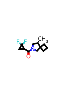 C[C@@H]1CN(C(=O)C2CC2(F)F)CC12CCC2